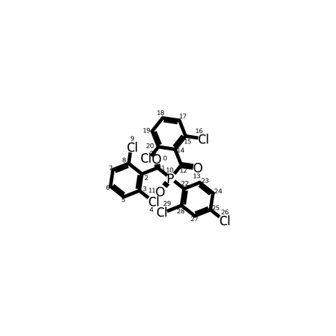 O=C(c1c(Cl)cccc1Cl)P(=O)(C(=O)c1c(Cl)cccc1Cl)c1ccc(Cl)cc1Cl